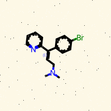 CN(C)C/C=C(\c1ccc(Br)cc1)c1ccccn1